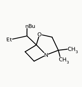 CCCCC(CC)C12CCN1C(C)(C)CO2